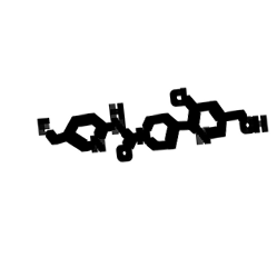 O=C(Nc1ccc(CF)cn1)N1CC=C(c2ncc(CO)cc2Cl)CC1